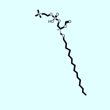 CCCCCCCCCCCCCCCCOC[C@H](COP(=O)(O)OCC[N+](C)(C)C)OC=O